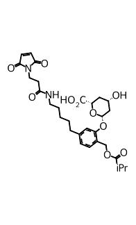 CC(C)C(=O)OCc1ccc(CCCCCNC(=O)CCN2C(=O)C=CC2=O)cc1O[C@H]1C[C@@H](O)C[C@@H](C(=O)O)O1